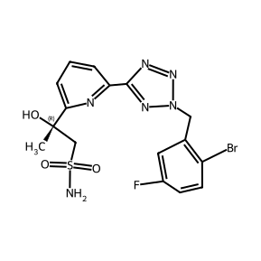 C[C@](O)(CS(N)(=O)=O)c1cccc(-c2nnn(Cc3cc(F)ccc3Br)n2)n1